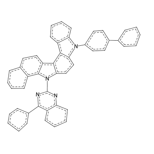 c1ccc(-c2ccc(-n3c4ccccc4c4c5c6ccc7ccccc7c6n(-c6nc(-c7ccccc7)c7ccccc7n6)c5ccc43)cc2)cc1